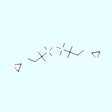 CC(C)(CC[C@@H]1CO1)[Si](C)(C)O[Si](C)(C)C(C)(C)CC[C@@H]1CO1